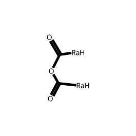 O=[C]([RaH])O[C](=O)[RaH]